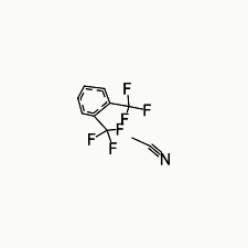 CC#N.FC(F)(F)c1ccccc1C(F)(F)F